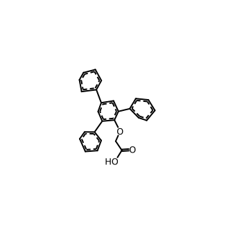 O=C(O)COc1c(-c2ccccc2)cc(-c2ccccc2)cc1-c1ccccc1